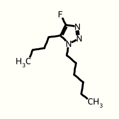 CCCCCCn1nnc(F)c1CCCC